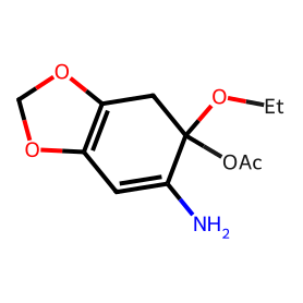 CCOC1(OC(C)=O)CC2=C(C=C1N)OCO2